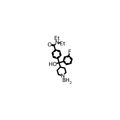 BN1CCC(C(O)(c2ccc(C(=O)N(CC)CC)cc2)c2cccc(F)c2)CC1